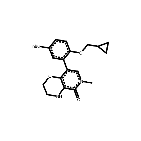 CCCCc1ccc(OCC2CC2)c(-c2cn(C)c(=O)c3c2OCCN3)c1